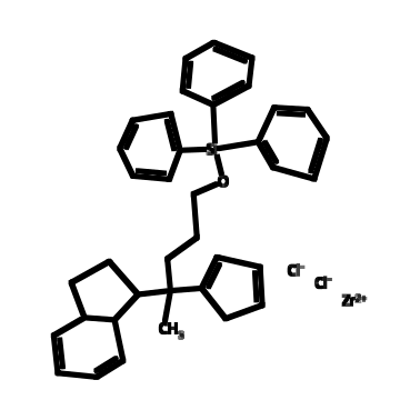 CC(CCCO[Si](c1ccccc1)(c1ccccc1)c1ccccc1)(C1=CC=CC1)C1CCC2C=CC=CC21.[Cl-].[Cl-].[Zr+2]